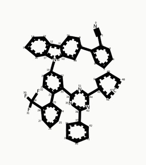 N#Cc1ccccc1-c1ccc2c3ccccc3n(-c3ccc(-c4ccccc4C(F)(F)F)c(-c4nc(-c5ccccc5)nc(-c5ccccc5)n4)c3)c2c1